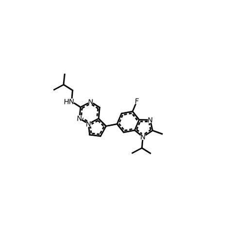 Cc1nc2c(F)cc(-c3ccn4nc(NCC(C)C)ncc34)cc2n1C(C)C